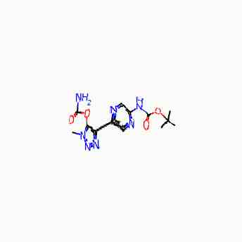 Cn1nnc(-c2cnc(NC(=O)OC(C)(C)C)cn2)c1OC(N)=O